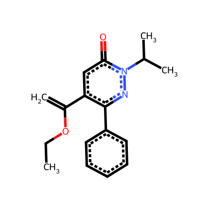 C=C(OCC)c1cc(=O)n(C(C)C)nc1-c1ccccc1